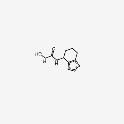 O=C(NO)NC1CCCc2sccc21